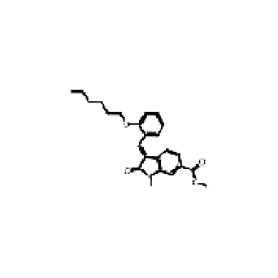 CCCCCCOc1ccccc1/C=C1/C(=O)Nc2cc(C(=O)OC)ccc21